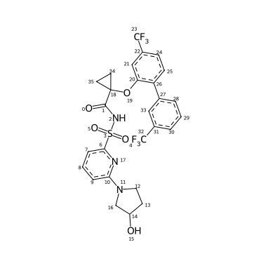 O=C(NS(=O)(=O)c1cccc(N2CCC(O)C2)n1)C1(Oc2cc(C(F)(F)F)ccc2-c2cccc(C(F)(F)F)c2)CC1